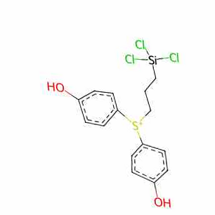 Oc1ccc([S+](CCC[Si](Cl)(Cl)Cl)c2ccc(O)cc2)cc1